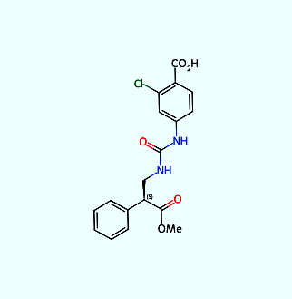 COC(=O)[C@H](CNC(=O)Nc1ccc(C(=O)O)c(Cl)c1)c1ccccc1